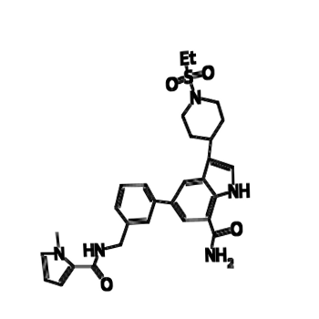 CCS(=O)(=O)N1CCC(c2c[nH]c3c(C(N)=O)cc(-c4cccc(CNC(=O)c5cccn5C)c4)cc23)CC1